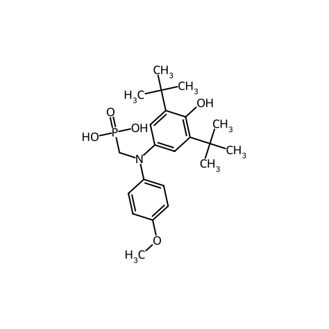 COc1ccc(N(CP(=O)(O)O)c2cc(C(C)(C)C)c(O)c(C(C)(C)C)c2)cc1